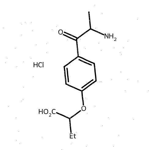 CCC(Oc1ccc(C(=O)C(C)N)cc1)C(=O)O.Cl